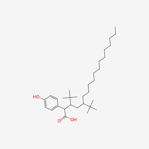 CCCCCCCCCCCCCC(CC(C(C(=O)O)c1ccc(O)cc1)C(C)(C)C)C(C)(C)C